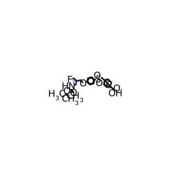 CC(C)(C)OC(=O)NC/C(=C\F)COc1ccc(S(=O)(=O)CC23CCC(C(=O)O)(CC2)CC3)cc1